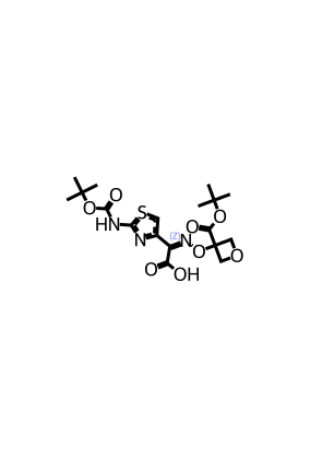 CC(C)(C)OC(=O)Nc1nc(/C(=N/OC2(C(=O)OC(C)(C)C)COC2)C(=O)O)cs1